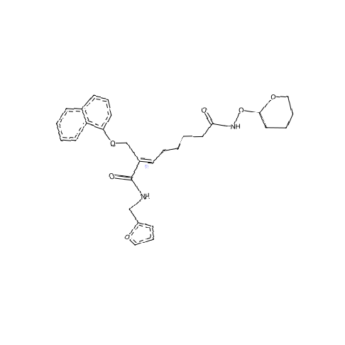 O=C(CCCC/C=C(\COc1cccc2ccccc12)C(=O)NCc1ccco1)NOC1CCCCO1